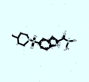 CC1CCN(S(=O)(=O)c2ccc3[nH]c(C(=O)N(C(C)C)C(C)C)cc3c2)CC1